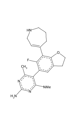 CNc1nc(N)nc(C)c1-c1cc2c(c(C3=CCNCCC3)c1F)OCC2